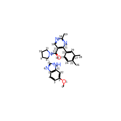 COc1ccc2nc([C@@H]3CCCN3C(=O)c3cnc(C)nc3-c3ccc(C)c(C)c3)[nH]c2c1